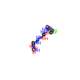 O=C1CCC(N2Cc3c(NC4CN(CCNC(O)c5ccc(NC(=O)[C@@H]6NC7(CCCCC7)[C@@]7(C(=O)Nc8cc(Cl)ccc87)[C@H]6c6cccc(Cl)c6F)cc5)C4)cccc3C2=O)C(=O)N1